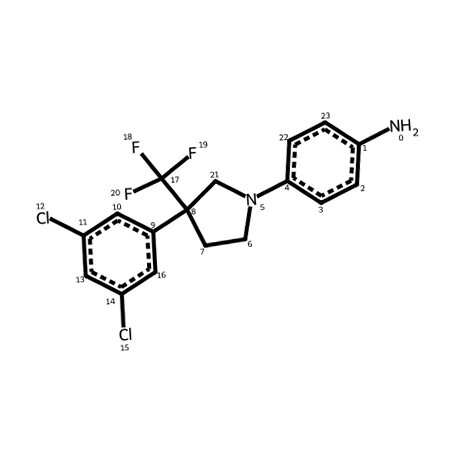 Nc1ccc(N2CCC(c3cc(Cl)cc(Cl)c3)(C(F)(F)F)C2)cc1